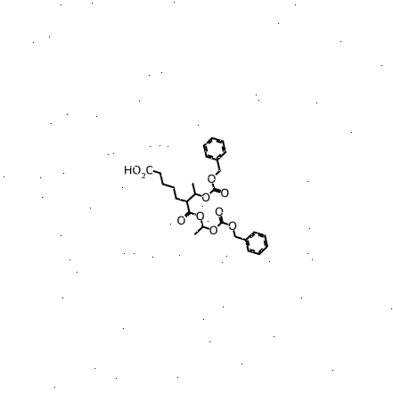 CC(OC(=O)OCc1ccccc1)OC(=O)C(CCCCC(=O)O)C(C)OC(=O)OCc1ccccc1